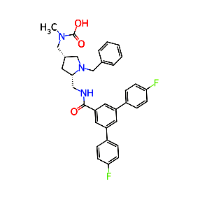 CN(C[C@H]1C[C@@H](CNC(=O)c2cc(-c3ccc(F)cc3)cc(-c3ccc(F)cc3)c2)N(Cc2ccccc2)C1)C(=O)O